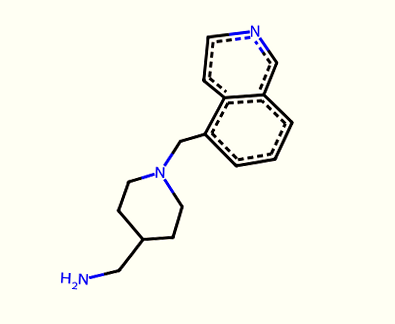 NCC1CCN(Cc2cccc3cnccc23)CC1